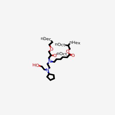 CCCCCCCCCCCCOCC(CN(CCCCCC(=O)OCC(CCCCCC)CCCCCCCC)CCN(CCO)C1CCCC1)OCCCCCCCC